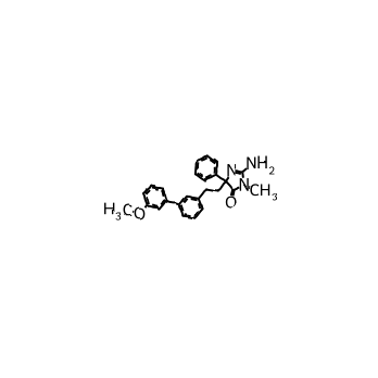 COc1cccc(-c2cccc(CCC3(c4ccccc4)N=C(N)N(C)C3=O)c2)c1